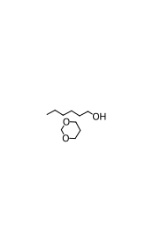 C1COCOC1.CCCCCCO